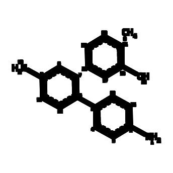 C.Nc1ccc(-c2ccc(N)cc2)cc1.Oc1ccccc1